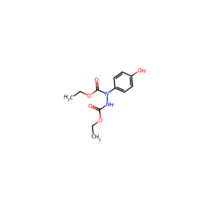 CCOC(=O)NN(C(=O)OCC)c1ccc(O)cc1